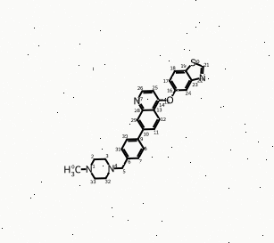 CN1CCN(Cc2ccc(-c3ccc4c(Oc5ccc6scnc6c5)ccnc4c3)cc2)CC1